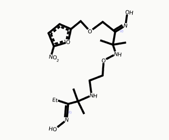 CC/C(=N\O)C(C)(C)NCCONC(C)(C)/C(COCc1ccc([N+](=O)[O-])o1)=N/O